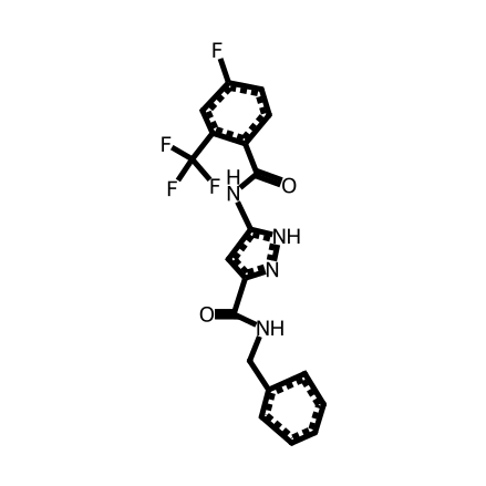 O=C(NCc1ccccc1)c1cc(NC(=O)c2ccc(F)cc2C(F)(F)F)[nH]n1